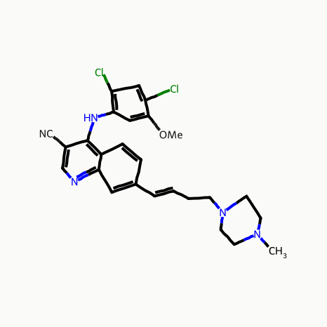 COc1cc(Nc2c(C#N)cnc3cc(/C=C/CCN4CCN(C)CC4)ccc23)c(Cl)cc1Cl